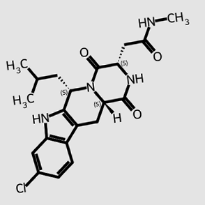 CNC(=O)C[C@@H]1NC(=O)[C@@H]2Cc3c([nH]c4cc(Cl)ccc34)[C@H](CC(C)C)N2C1=O